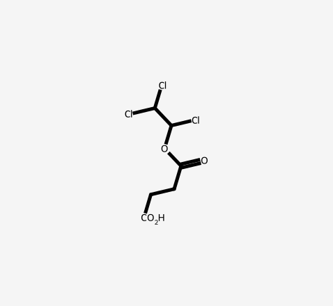 O=C(O)CCC(=O)OC(Cl)C(Cl)Cl